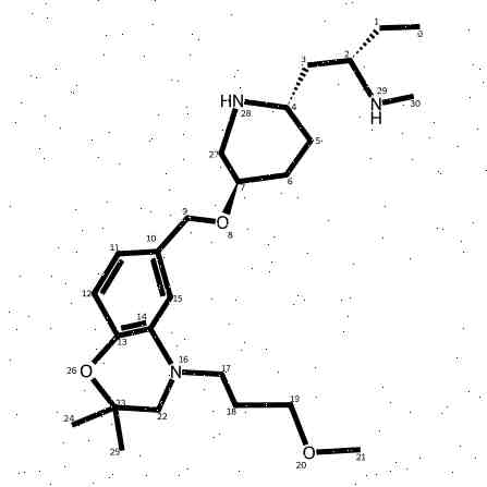 CC[C@@H](C[C@@H]1CC[C@@H](OCc2ccc3c(c2)N(CCCOC)CC(C)(C)O3)CN1)NC